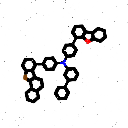 c1ccc(-c2cccc(N(c3ccc(-c4cccc5c4oc4ccccc45)cc3)c3ccc(-c4cccc5sc6c7ccccc7ccc6c45)cc3)c2)cc1